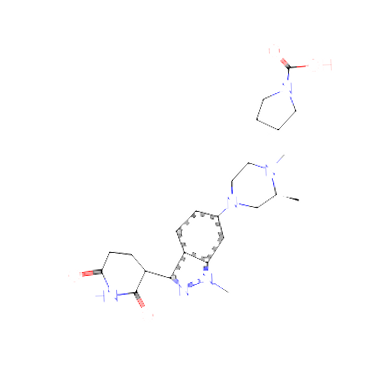 C[C@H]1CN(c2ccc3c(C4CCC(=O)NC4=O)nn(C)c3c2)CCN1C[C@@H]1CCN(C(=O)O)C1